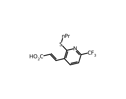 CCCSc1nc(C(F)(F)F)ccc1/C=C/C(=O)O